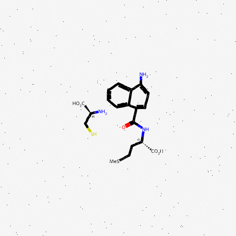 CSCC[C@H](NC(=O)c1ccc(N)c2ccccc12)C(=O)O.N[C@@H](CS)C(=O)O